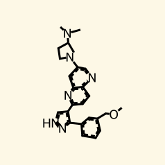 COCc1cccc(-c2n[nH]cc2-c2ccc3ncc(N4CCC(N(C)C)C4)cc3n2)c1